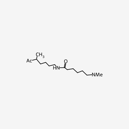 CNCCCCCC(=O)NCCCCC(C)C(C)=O